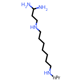 CCCNCCCCCCCNCCC(N)N